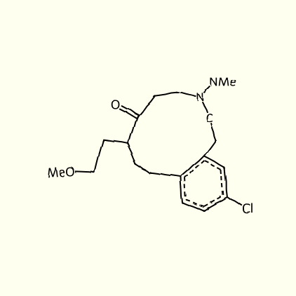 CNN1CCC(=O)C(CCOC)CCc2ccc(Cl)cc2CC1